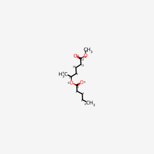 CCCCC(=O)OC(C)CCCC(=O)OC